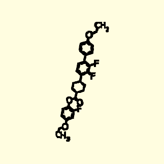 CCOc1ccc(-c2ccc(C3CCC(C(=O)Oc4ccc(OCC)cc4F)CC3)c(F)c2F)cc1